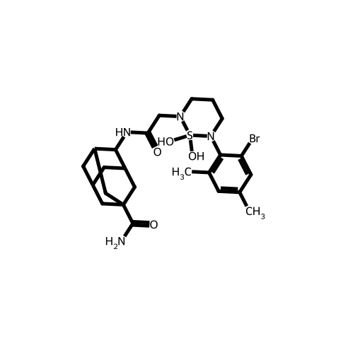 Cc1cc(C)c(N2CCCN(CC(=O)NC3C4CC5CC3CC(C(N)=O)(C5)C4)S2(O)O)c(Br)c1